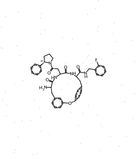 NC1Cc2cccc(c2)Oc2ccc(cc2)CC(C(=O)NCc2ccccc2F)NC(=O)C(CC(=O)N2CCC[C@@H]2c2ccccc2)NC1=O